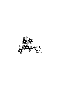 CCN(Cc1cc(C(=O)OCCN(C)CCOC(C)=O)cc(Br)c1N)C1CCCCC1.Clc1cccc(Cl)c1Nc1ccccc1